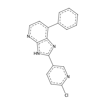 Clc1ccc(-c2nc3c(-c4ccccc4)ccnc3[nH]2)cn1